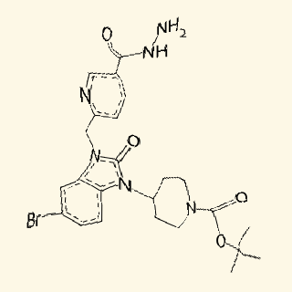 CC(C)(C)OC(=O)N1CCC(n2c(=O)n(Cc3ccc(C(=O)NN)cn3)c3cc(Br)ccc32)CC1